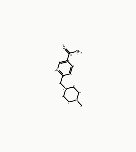 CN1CCN(Cc2ccc(C(N)=O)cn2)CC1